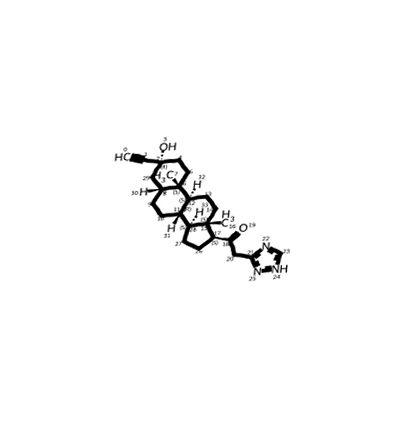 C#C[C@@]1(O)CC[C@@]2(C)[C@H](CC[C@@H]3[C@@H]2CC[C@]2(C)[C@@H](C(=O)Cc4nc[nH]n4)CC[C@@H]32)C1